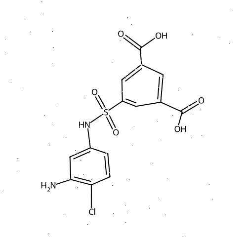 Nc1cc(NS(=O)(=O)c2cc(C(=O)O)cc(C(=O)O)c2)ccc1Cl